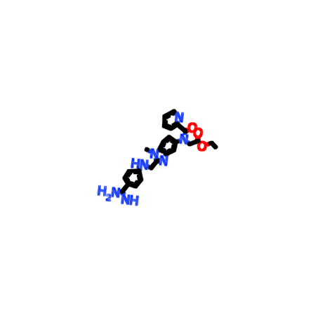 CCOC(=O)CN(C(=O)c1ccccn1)c1ccc2c(c1)nc(CNc1ccc(C(=N)N)cc1)n2C